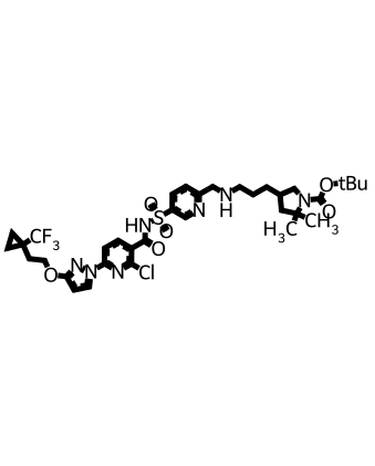 CC(C)(C)OC(=O)N1CC(CCCNCc2ccc(S(=O)(=O)NC(=O)c3ccc(-n4ccc(OCCC5(C(F)(F)F)CC5)n4)nc3Cl)cn2)CC1(C)C